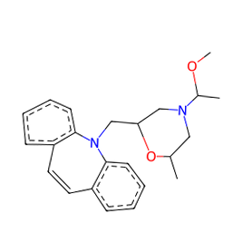 COC(C)N1CC(C)OC(CN2c3ccccc3C=Cc3ccccc32)C1